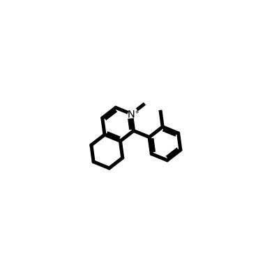 Cc1ccccc1-c1c2c(cc[n+]1C)CCCC2